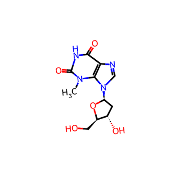 Cn1c(=O)[nH]c(=O)c2ncn([C@H]3C[C@H](O)[C@@H](CO)O3)c21